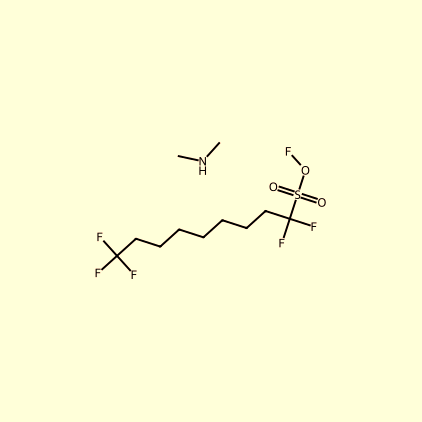 CNC.O=S(=O)(OF)C(F)(F)CCCCCCCC(F)(F)F